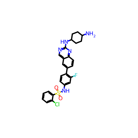 NC1CCC(Nc2ncc3cc(-c4ccc(NS(=O)(=O)c5ccccc5Cl)cc4F)ccc3n2)CC1